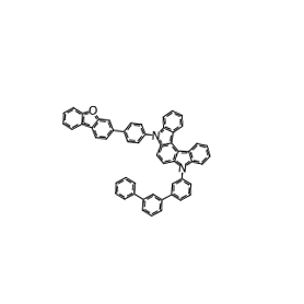 c1ccc(-c2cccc(-c3cccc(-n4c5ccccc5c5c6c7ccccc7n(-c7ccc(-c8ccc9c(c8)oc8ccccc89)cc7)c6ccc54)c3)c2)cc1